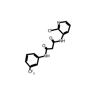 O=C(CC(=O)Nc1cccnc1Cl)Nc1cccc(C(F)(F)F)c1